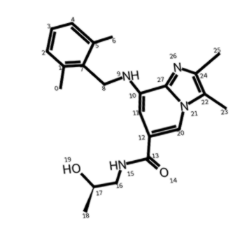 Cc1cccc(C)c1CNc1cc(C(=O)NC[C@@H](C)O)cn2c(C)c(C)nc12